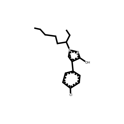 CCCCCC(CC)n1cc(-c2ccc(Cl)cc2)c(O)n1